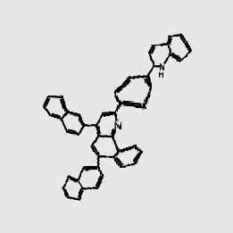 C1=CC(c2ccc(-c3cc(-c4ccc5ccccc5c4)c4cc(-c5ccc6ccccc6c5)c5ccccc5c4n3)cc2)Nc2ccccc21